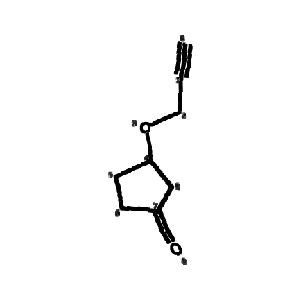 C#CCOC1CCC(=O)C1